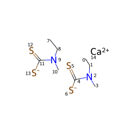 CCN(C)C(=S)[S-].CCN(C)C(=S)[S-].[Ca+2]